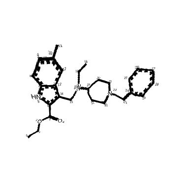 CCOC(=O)c1[nH]c2ccc(C)cc2c1CN(CC)C1CCN(Cc2ccccc2)CC1